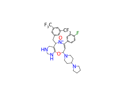 O=[N+]1/C(c2ccc(F)cc2)=C\C(N2CCC(N3CCCC3)CC2)OC2=C(CNCN2)C1Cc1cc(C(F)(F)F)cc(C(F)(F)F)c1